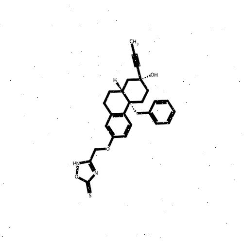 CC#C[C@@]1(O)CC[C@@]2(Cc3ccccc3)c3ccc(OCc4nc(=S)o[nH]4)cc3CC[C@@H]2C1